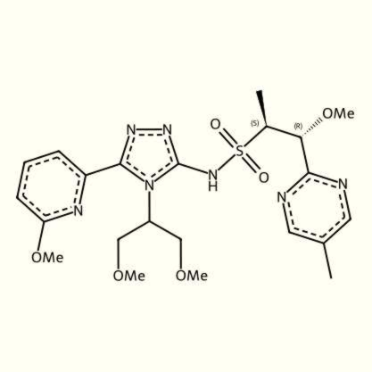 COCC(COC)n1c(NS(=O)(=O)[C@@H](C)[C@H](OC)c2ncc(C)cn2)nnc1-c1cccc(OC)n1